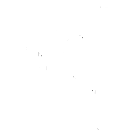 CC(C)CNC(=O)C1(CN(C)C)CCN(c2ccc(Br)cn2)CC1